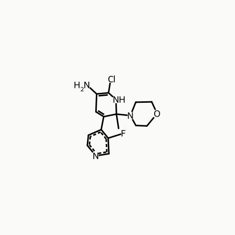 CC1(N2CCOCC2)NC(Cl)=C(N)C=C1c1ccncc1F